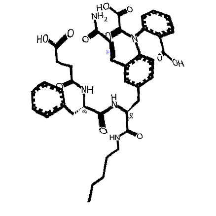 CCCCCNC(=O)[C@H](Cc1ccc(N(C(=O)C(=O)O)c2ccccc2C(=O)O)c(/C=C/C(N)=O)c1)NC(=O)[C@H](Cc1ccccc1)NC(=O)CCC(=O)O